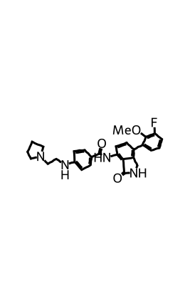 COc1c(F)cccc1-c1ccc(NC(=O)c2ccc(NCCN3CCCC3)cc2)c2c1CNC2=O